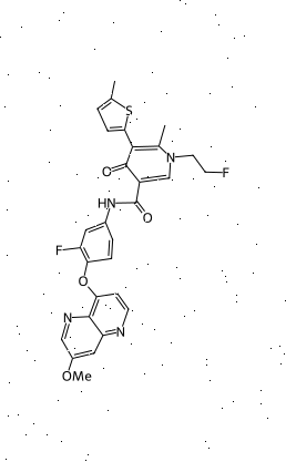 COc1cnc2c(Oc3ccc(NC(=O)c4cn(CCF)c(C)c(-c5ccc(C)s5)c4=O)cc3F)ccnc2c1